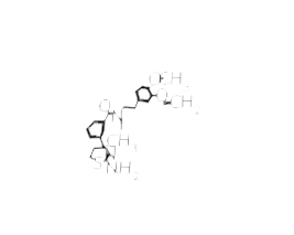 C=COc1cc(CCN(I)C(=O)c2cccc(C3(C)CCSC(N)=N3)c2)ccc1OC